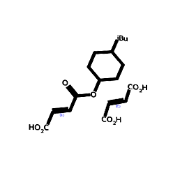 CCC(C)C1CCC(OC(=O)/C=C/C(=O)O)CC1.O=C(O)/C=C/C(=O)O